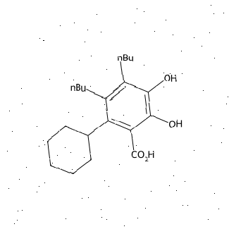 CCCCc1c(O)c(O)c(C(=O)O)c(C2CCCCC2)c1CCCC